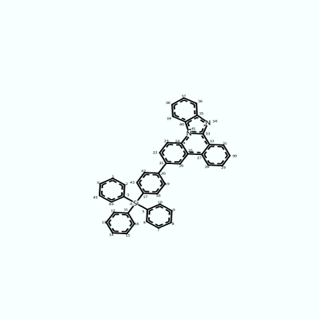 c1ccc([Si](c2ccccc2)(c2ccccc2)c2ccc(-c3ccc4c(c3)c3ccccc3c3nc5ccccc5n43)cc2)cc1